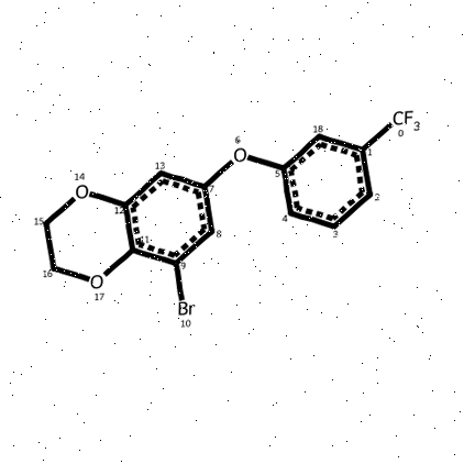 FC(F)(F)c1cccc(Oc2cc(Br)c3c(c2)OCCO3)c1